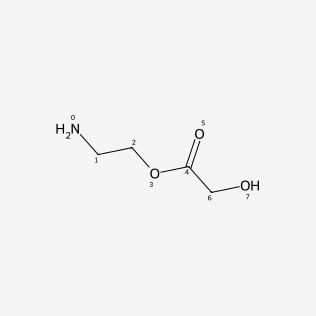 NCCOC(=O)CO